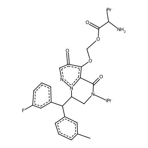 Cc1cccc(C(c2cccc(F)c2)C2CN(C(C)C)C(=O)c3c(OCOC(=O)C(N)C(C)C)c(=O)cnn32)c1